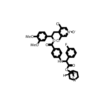 COc1ccc(C(Cc2c(Cl)c[n+]([O-])cc2Cl)OC(=O)c2ccc(NC(C(=O)O[C@H]3CN4CCC3CC4)c3cccc(F)c3)cc2)cc1OC